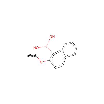 CCCCCOc1ccc2ccccc2c1B(O)O